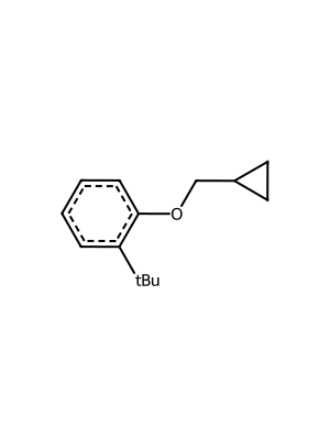 CC(C)(C)c1ccccc1OCC1CC1